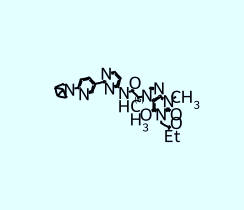 CCC(=O)Cn1c(=O)c2c(ncn2[C@@H](C)C(=O)Nc2ccnc(-c3ccc(N4CC5C6C5C64)nc3)n2)n(C)c1=O